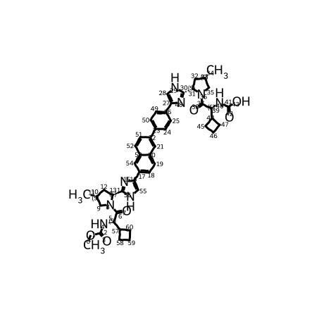 COC(=O)N[C@H](C(=O)N1C[C@@H](C)C[C@H]1c1nc(-c2ccc3cc(-c4ccc(-c5c[nH]c([C@@H]6C[C@H](C)CN6C(=O)[C@@H](NC(=O)O)C6CCC6)n5)cc4)ccc3c2)c[nH]1)C1CCC1